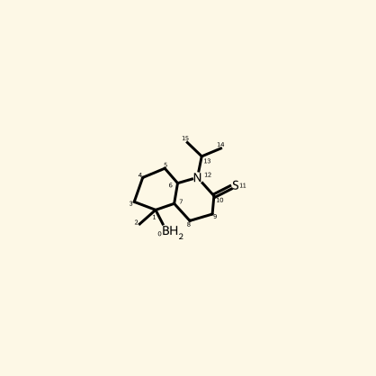 BC1(C)CCCC2C1CCC(=S)N2C(C)C